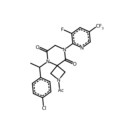 CC(=O)N1CC2(C1)C(=O)N(c1ncc(C(F)(F)F)cc1F)CC(=O)N2C(C)c1ccc(Cl)cc1